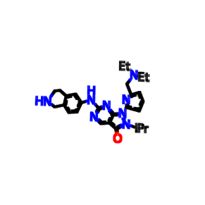 CCN(CC)Cc1cccc(-n2c3nc(Nc4ccc5c(c4)CCNC5)ncc3c(=O)n2C(C)C)n1